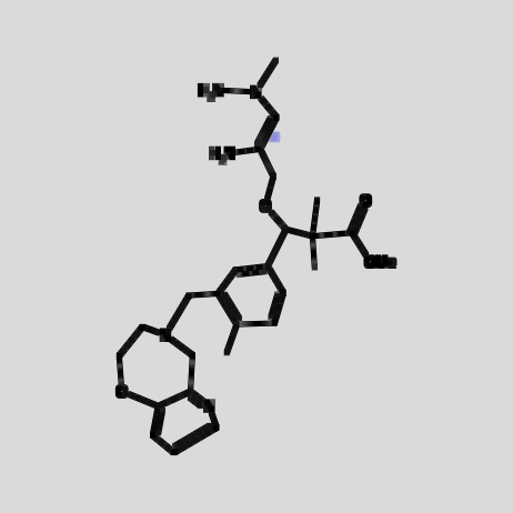 COC(=O)C(C)(C)C(OC/C(N)=C/N(C)N)c1ccc(C)c(CN2CCOc3cccnc3C2)c1